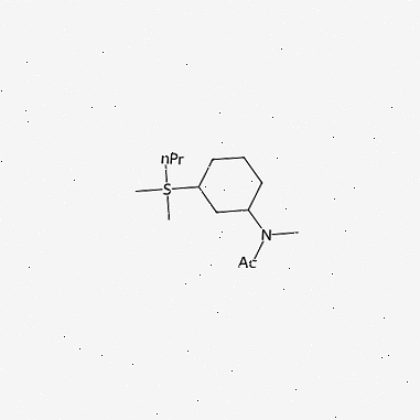 CCCS(C)(C)C1CCCC(N(C)C(C)=O)C1